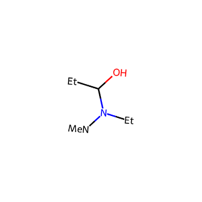 CCC(O)N(CC)NC